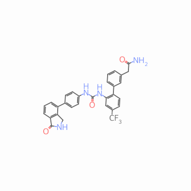 NC(=O)Cc1cccc(-c2ccc(C(F)(F)F)cc2NC(=O)Nc2ccc(-c3cccc4c3CNC4=O)cc2)c1